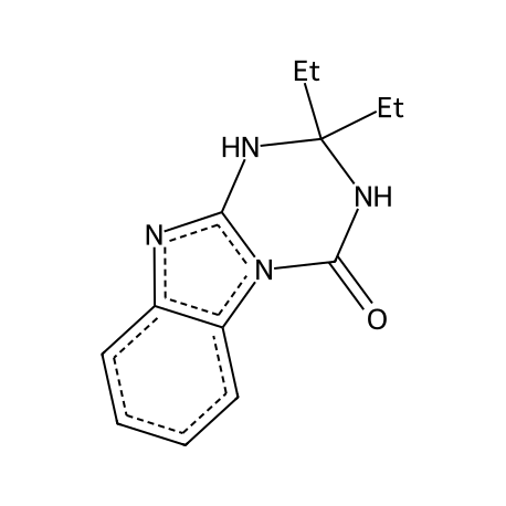 CCC1(CC)NC(=O)n2c(nc3ccccc32)N1